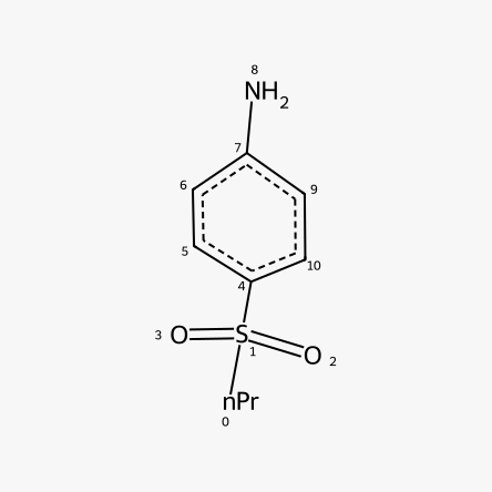 CCCS(=O)(=O)c1ccc(N)cc1